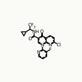 O=C(NC(C1CC1)C(F)(F)F)c1cn(-c2ncccc2F)c2nc(Cl)ccc2c1=O